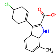 CC1=CC=CC2C(C3=CCC(Cl)CC3)=C(C(=O)O)NC12